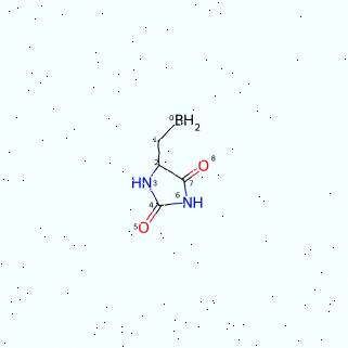 BCC1NC(=O)NC1=O